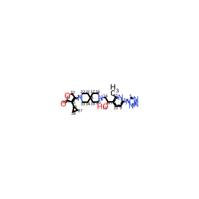 Cc1nc(-n2cnnn2)ccc1C(O)CN1CCC2(CC1)CCN(C1=C(C3CC3)C(=O)OC1)CC2